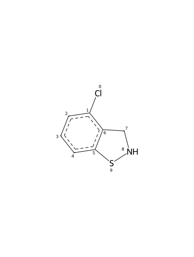 Clc1cccc2c1CNS2